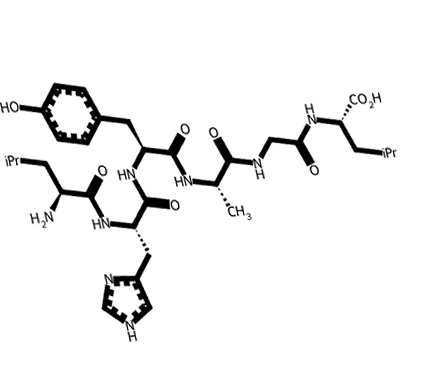 CC(C)C[C@H](NC(=O)CNC(=O)[C@H](C)NC(=O)[C@H](Cc1ccc(O)cc1)NC(=O)[C@H](Cc1c[nH]cn1)NC(=O)[C@@H](N)CC(C)C)C(=O)O